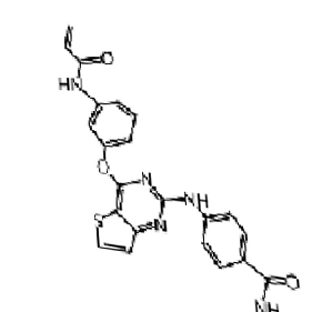 C=CC(=O)Nc1cccc(Oc2nc(Nc3ccc(C(N)=O)cc3)nc3ccsc23)c1